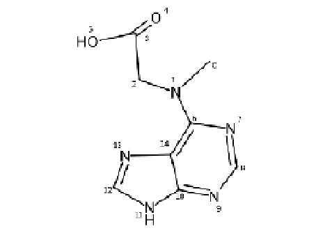 CN(CC(=O)O)c1ncnc2[nH]cnc12